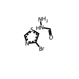 Brc1cscn1.NNC=O